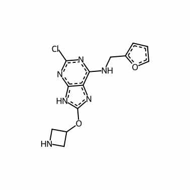 Clc1nc(NCc2ccco2)c2nc(OC3CNC3)[nH]c2n1